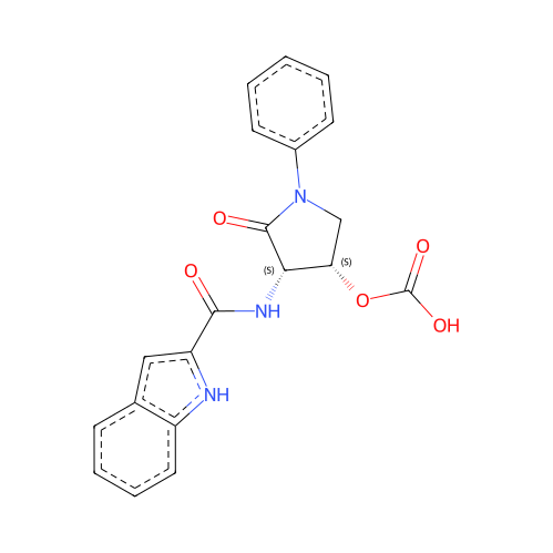 O=C(O)O[C@H]1CN(c2ccccc2)C(=O)[C@H]1NC(=O)c1cc2ccccc2[nH]1